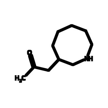 CC(=O)CC1CCCCCNC1